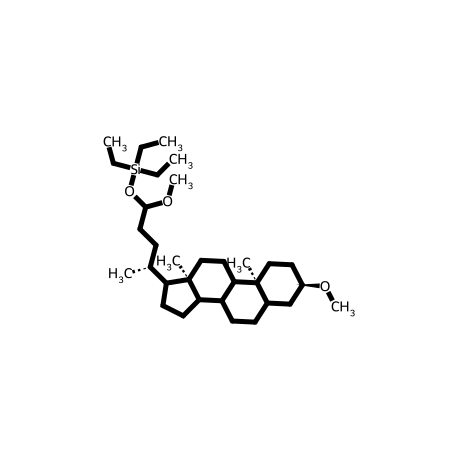 CC[Si](CC)(CC)OC(CC[C@@H](C)C1CCC2C3CCC4C[C@H](OC)CC[C@]4(C)C3CC[C@@]21C)OC